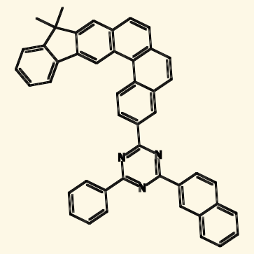 CC1(C)c2ccccc2-c2cc3c(ccc4ccc5cc(-c6nc(-c7ccccc7)nc(-c7ccc8ccccc8c7)n6)ccc5c43)cc21